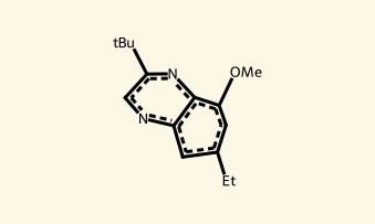 CCc1cc(OC)c2nc(C(C)(C)C)cnc2c1